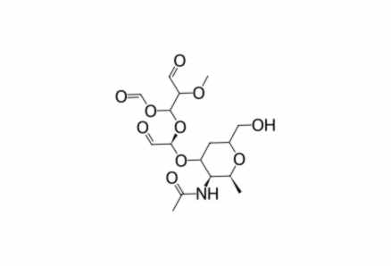 COC(C=O)C(OC=O)O[C@H](C=O)OC1CC(CO)O[C@@H](C)[C@H]1NC(C)=O